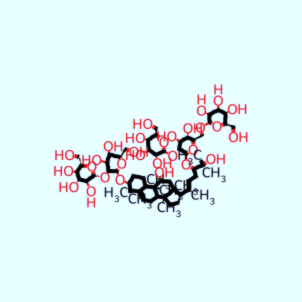 C[C@@H](CCC(O[C@@H]1O[C@H](CO[C@@H]2O[C@H](CO)[C@@H](O)[C@H](O)[C@H]2O)[C@@H](O)[C@H](O)[C@H]1O[C@@H]1O[C@H](CO)[C@@H](O)[C@H](O)[C@H]1O)C(C)(C)O)[C@H]1CC[C@@]2(C)C3CC=C4C(C)(C)[C@@H](O[C@@H]5O[C@H](CO)[C@@H](O)[C@H](O)[C@H]5O[C@H]5O[C@@H](CO)[C@H](O)[C@@H](O)[C@@H]5O)CC[C@@]4(C)[C@]3(C)[C@H](O)C[C@]12C